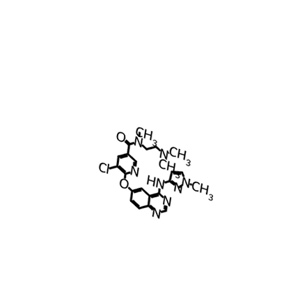 CN(C)CCN(C)C(=O)c1cnc(Oc2ccc3ncnc(Nc4ccn(C)n4)c3c2)c(Cl)c1